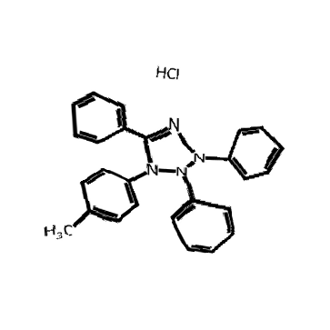 Cc1ccc(N2C(c3ccccc3)=NN(c3ccccc3)N2c2ccccc2)cc1.Cl